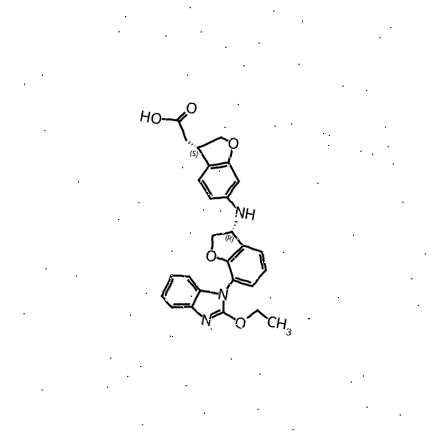 CCOc1nc2ccccc2n1-c1cccc2c1OC[C@@H]2Nc1ccc2c(c1)OC[C@H]2CC(=O)O